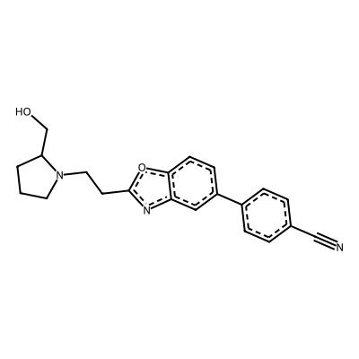 N#Cc1ccc(-c2ccc3oc(CCN4CCCC4CO)nc3c2)cc1